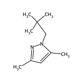 Cc1cc(C)n(CC(C)(C)C)n1